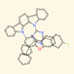 Fc1ccc(-c2nc(-c3ccccc3)nc(-n3c4ccccc4c4ccc5c6ccccc6n(-c6cc(-c7ccccc7)c7oc8ccccc8c7c6)c5c43)n2)cc1